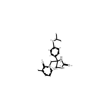 Cc1cccn(CC2(c3ccc(OC(C)C)cc3)NC(=O)NC2=O)c1=O